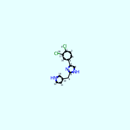 Clc1ccc(-c2c[nH]c(Cc3cc[nH]c3)n2)cc1Cl